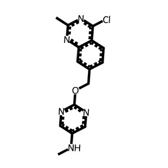 CNc1cnc(OCc2ccc3c(Cl)nc(C)nc3c2)nc1